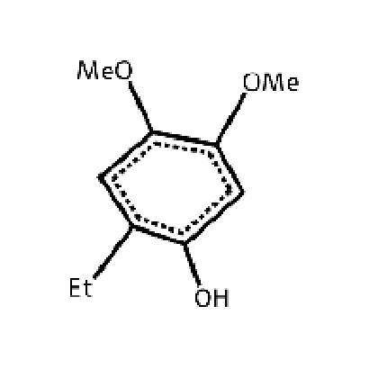 CCc1cc(OC)c(OC)cc1O